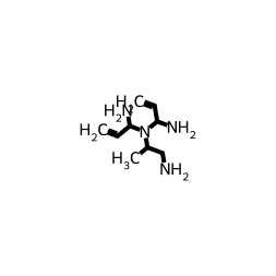 C=CC(N)N(C(N)C=C)C(C)CN